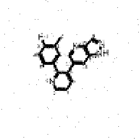 Cc1cc(-c2ncccc2-c2cnc3cn[nH]c3c2)ccc1F